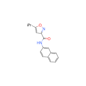 CC(C)c1cc(C(=O)Nc2ccc3ccccc3c2)no1